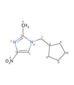 Cc1nc([N+](=O)[O-])cn1CC1CCCC1